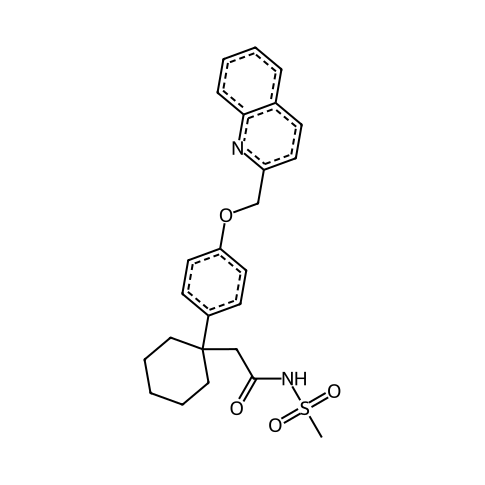 CS(=O)(=O)NC(=O)CC1(c2ccc(OCc3ccc4ccccc4n3)cc2)CCCCC1